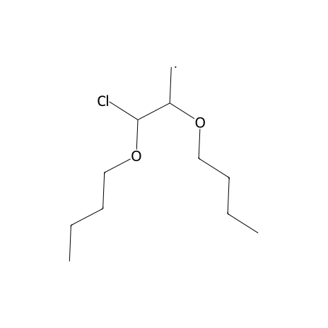 [CH2]C(OCCCC)C(Cl)OCCCC